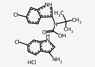 CC(C)(C)N(C(=O)O)c1c[nH]c2cc(Cl)ccc12.Cl.Nc1c[nH]c2cc(Cl)ccc12